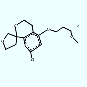 CO[C@@H](C)CCOc1cc(Cl)nc2c1CCOC21CCOC1